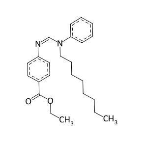 CCCCCCCCN(/C=N\c1ccc(C(=O)OCC)cc1)c1ccccc1